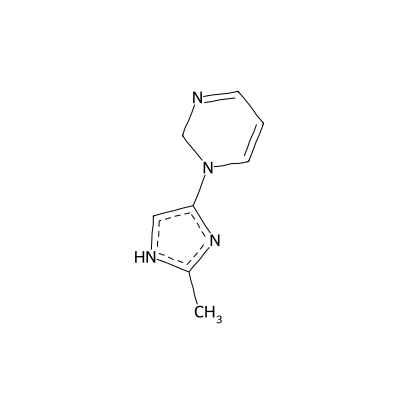 Cc1nc(N2C=CC=NC2)c[nH]1